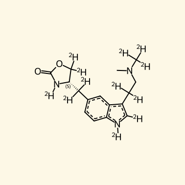 [2H]c1c(C([2H])([2H])CN(C)C([2H])([2H])[2H])c2cc(C([2H])([2H])[C@@H]3N([2H])C(=O)OC3([2H])[2H])ccc2n1[2H]